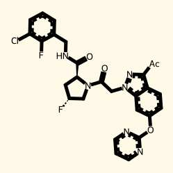 CC(=O)c1nn(CC(=O)N2C[C@H](F)C[C@H]2C(=O)NCc2cccc(Cl)c2F)c2cc(Oc3ncccn3)ccc12